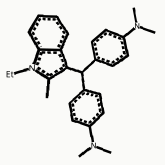 CCn1c(C)c(C(c2ccc(N(C)C)cc2)c2ccc(N(C)C)cc2)c2ccccc21